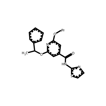 CC(C)Oc1cc(C(=O)Nc2nccs2)cc(OC(C)c2ccccc2)n1